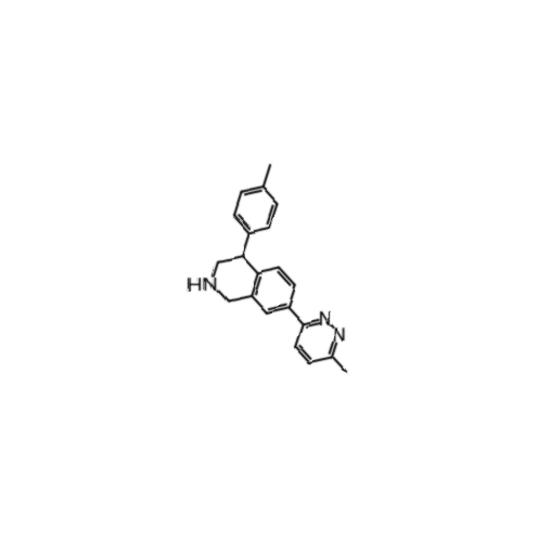 Cc1ccc(C2CNCc3cc(-c4ccc(C)nn4)ccc32)cc1